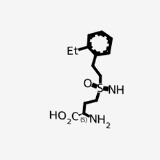 CCc1ccccc1CCS(=N)(=O)CC[C@H](N)C(=O)O